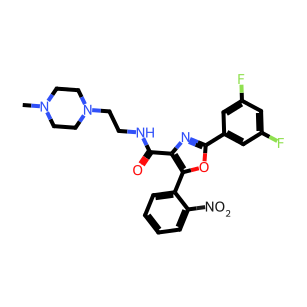 CN1CCN(CCNC(=O)c2nc(-c3cc(F)cc(F)c3)oc2-c2ccccc2[N+](=O)[O-])CC1